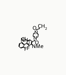 C=CC(=O)N1CCN(C(=O)c2cc(Cl)c(-c3c(N)cccc3F)c(F)c2NC)CC1